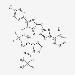 CC(C)(C)OC(=O)N1CCCC1C(=O)NC(Cn1c(-c2ccc(Cl)cc2)nn(Cc2ncn(-c3ncccc3Cl)n2)c1=O)C(F)(F)F